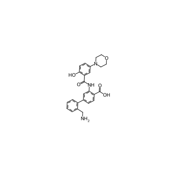 NCc1ccccc1-c1ccc(C(=O)O)c(NC(=O)c2cc(N3CCOCC3)ccc2O)c1